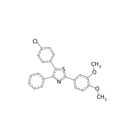 COc1ccc(-c2nc(-c3ccccc3)c(-c3ccc(Cl)cc3)s2)cc1OC